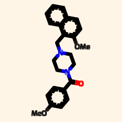 COc1ccc(C(=O)N2CCN(Cc3c(OC)ccc4ccccc34)CC2)cc1